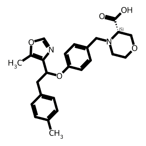 Cc1ccc(CC(Oc2ccc(CN3CCOC[C@H]3C(=O)O)cc2)c2ncoc2C)cc1